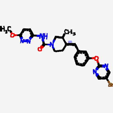 COc1ccc(NC(=O)N2CC/C(=C\c3cccc(Oc4ncc(Br)cn4)c3)C(C)C2)nn1